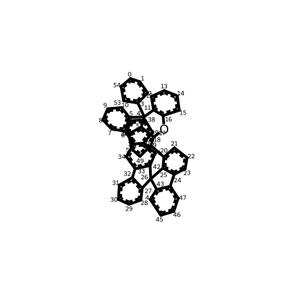 c1ccc(C2(c3ccccc3)c3ccccc3Oc3c(-c4cccc5c4C4(c6ccccc6-c6cc7ccccc7cc64)c4ccccc4-5)cccc32)cc1